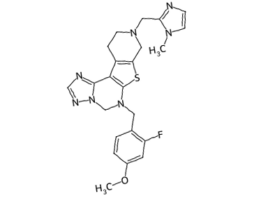 COc1ccc(CN2Cn3ncnc3-c3c2sc2c3CCN(Cc3nccn3C)C2)c(F)c1